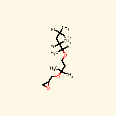 CCC(C)(C)CC(C)(CC)C(C)(CC)OCCC(C)(C)OCC1CO1